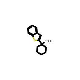 O=C(O)C1(c2cc3ccccc3s2)CCCCC1